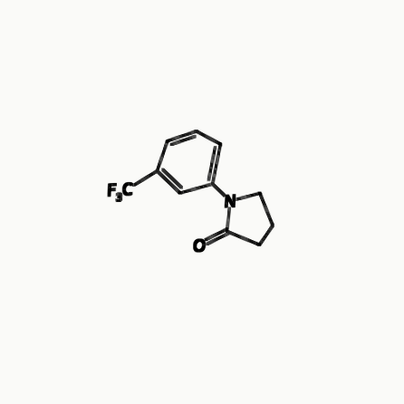 O=C1CCCN1c1cccc(C(F)(F)F)c1